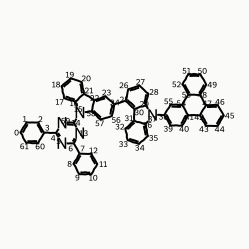 c1ccc(-c2nc(-c3ccccc3)nc(-n3c4ccccc4c4cc(-c5cccc6c5c5ccccc5n6-c5ccc6c7ccccc7c7ccccc7c6c5)ccc43)n2)cc1